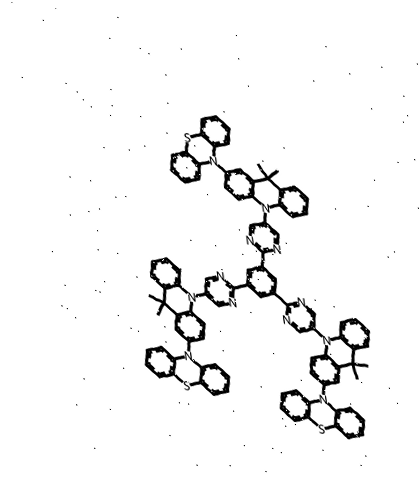 CC1(C)c2ccccc2N(c2cnc(-c3cc(-c4ncc(N5c6ccccc6C(C)(C)c6cc(N7c8ccccc8Sc8ccccc87)ccc65)cn4)cc(-c4ncc(N5c6ccccc6C(C)(C)c6cc(N7c8ccccc8Sc8ccccc87)ccc65)cn4)c3)nc2)c2ccc(N3c4ccccc4Sc4ccccc43)cc21